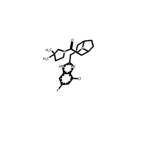 CC1(C)CCN(C(=O)CN2C3CCC2CN(Cc2nc4c(Cl)cc(F)cc4[nH]2)C3)C1